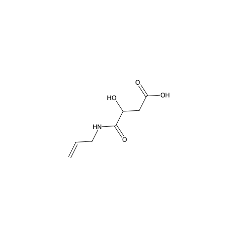 C=CCNC(=O)C(O)CC(=O)O